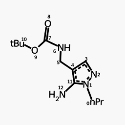 CCCn1ncc(CNC(=O)OC(C)(C)C)c1N